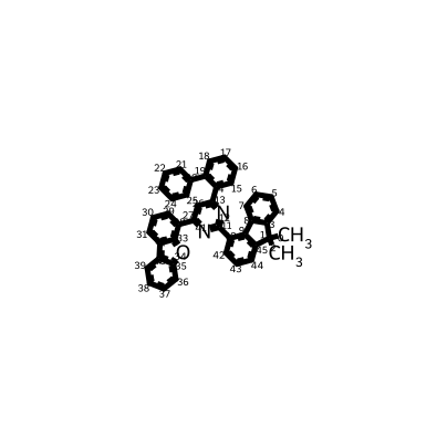 CC1(C)c2ccccc2-c2c(-c3nc(-c4ccccc4-c4ccccc4)cc(-c4cccc5c4oc4ccccc45)n3)cccc21